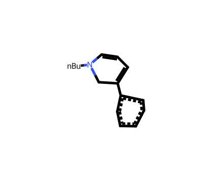 CCCCN1C=CC=C(c2ccccc2)C1